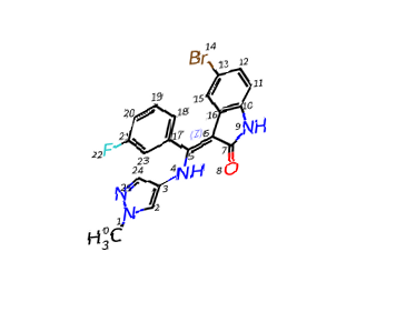 Cn1cc(N/C(=C2\C(=O)Nc3ccc(Br)cc32)c2cccc(F)c2)cn1